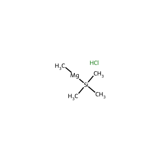 Cl.[CH3][Mg][Si](C)(C)C